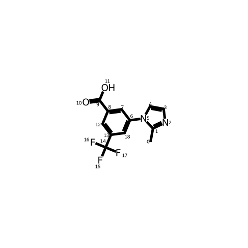 Cc1nccn1-c1cc(C(=O)O)cc(C(F)(F)F)c1